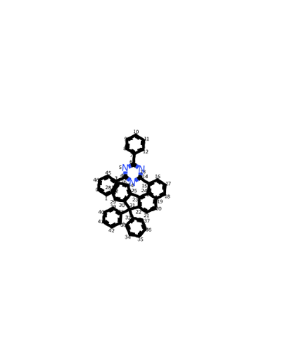 c1ccc(-c2nc(-c3ccccc3)nc(-c3cccc4ccc5c(c34)-c3ccccc3C5(c3ccccc3)c3ccccc3)n2)cc1